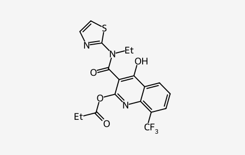 CCC(=O)Oc1nc2c(C(F)(F)F)cccc2c(O)c1C(=O)N(CC)c1nccs1